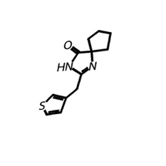 O=C1NC(Cc2ccsc2)=NC12CCCC2